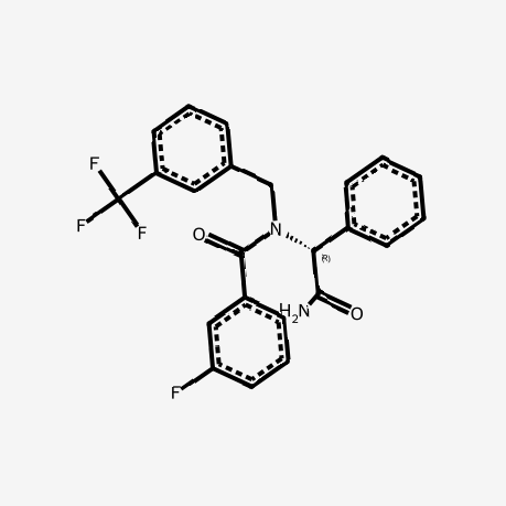 NC(=O)[C@@H](c1ccccc1)N(Cc1cccc(C(F)(F)F)c1)C(=O)c1cccc(F)c1